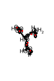 Cn1c(=O)n(C2CCC(=O)NC2=O)c2cccc(CCCCN(CCNC(=O)[C@H]3CC[C@H](n4cc5cc(NC(=O)c6cccc(C(F)(F)F)n6)c(C(C)(C)O)cc5n4)CC3)CC(=O)N3CCC(c4ccc(Nc5nc(N6CCCCC6)cnc5C(N)=O)cc4)CC3)c21